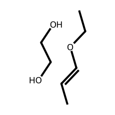 C/C=C/OCC.OCCO